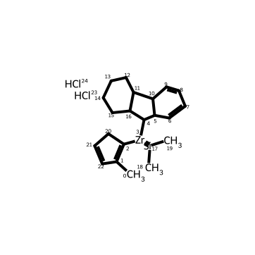 CC1=[C]([Zr]([CH]2C3C=CC=CC3C3CCCCC32)=[Si](C)C)CC=C1.Cl.Cl